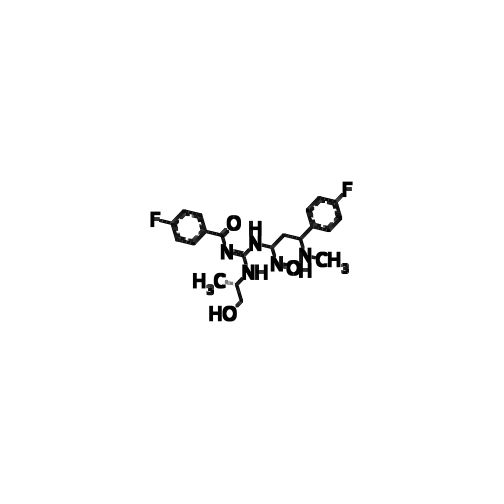 CNC(CC(N=O)N/C(=N\C(=O)c1ccc(F)cc1)N[C@@H](C)CO)c1ccc(F)cc1